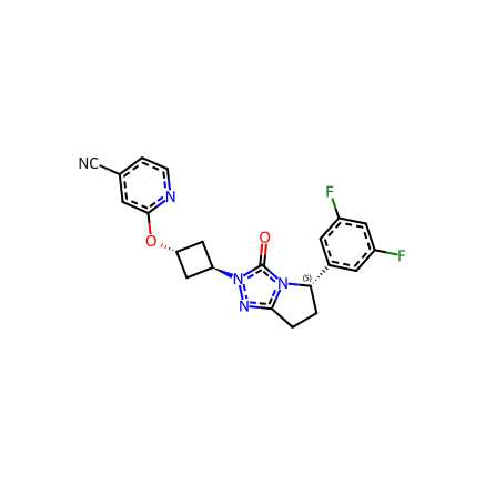 N#Cc1ccnc(O[C@H]2C[C@H](n3nc4n(c3=O)[C@H](c3cc(F)cc(F)c3)CC4)C2)c1